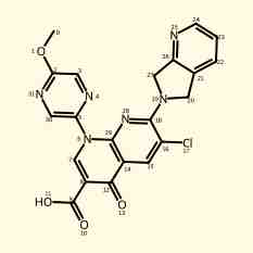 COc1cnc(-n2cc(C(=O)O)c(=O)c3cc(Cl)c(N4Cc5cccnc5C4)nc32)cn1